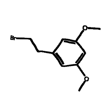 COc1cc(CCBr)cc(OC)c1